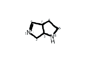 C1=[N+]CC2NCCC12